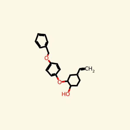 C=C[C]1CCC(O)C(Oc2ccc(OCc3ccccc3)cc2)C1